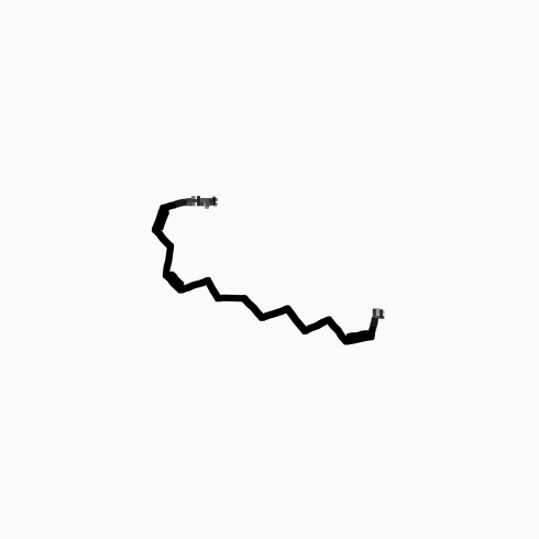 CC/C=C\CCCCCCC/C=C\C/C=C\CCCCCCC